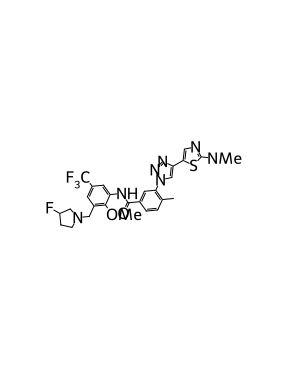 CNc1ncc(-c2cn(-c3cc(C(=O)Nc4cc(C(F)(F)F)cc(CN5CCC(F)C5)c4OC)ccc3C)nn2)s1